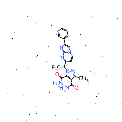 Cc1nn(C(c2ccn3cc(-c4ccccc4)nc3n2)C(F)(F)F)c(C(N)=O)c1C(N)=O